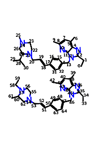 CCc1nc2c(C)cc(C)nc2n1Cc1ccc(C=CCN2CCN(C)C[C@@H]2C(C)C)cc1.CCc1nc2c(C)cc(C)nc2n1Cc1ccc(C=CCN2CCN(CC)C(C)C2)cc1